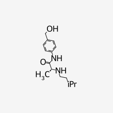 CC(C)CCN[C@@H](C)C(=O)Nc1ccc(CO)cc1